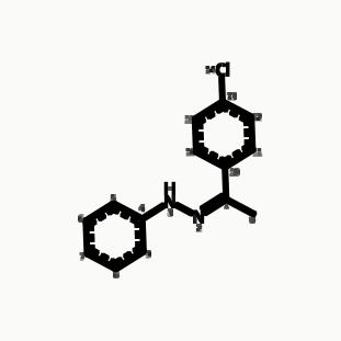 C/C(=N/Nc1ccccc1)c1ccc(Cl)cc1